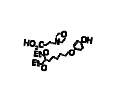 CCC(=O)C(CCCCCCOc1ccc(O)cc1)C(=O)CC.O=C(O)CCCN1CCOCC1